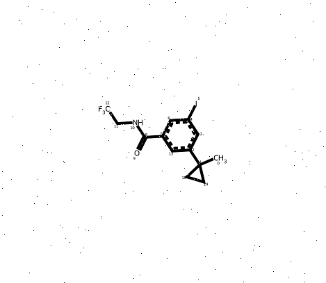 CC1(c2cc(I)cc(C(=O)NCC(F)(F)F)c2)CC1